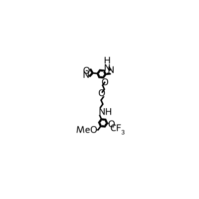 COCc1cc(CNCCCCOCCOc2cc(-c3cnoc3)cc3[nH]ncc23)cc(OC(F)(F)F)c1